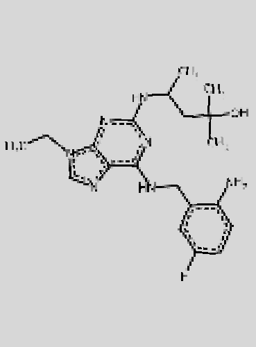 CCn1cnc2c(NCc3cc(F)ccc3N)nc(NC(C)CC(C)(C)O)nc21